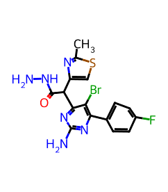 Cc1nc(C(C(=O)NN)c2nc(N)nc(-c3ccc(F)cc3)c2Br)cs1